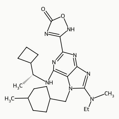 CCN(C)c1nc2nc(-c3nc(=O)o[nH]3)nc(N[C@H](C)C3CCC3)c2n1CC1CCC(C)CC1